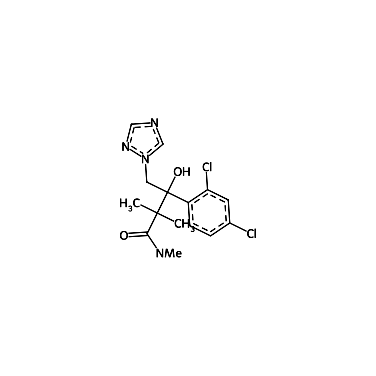 CNC(=O)C(C)(C)C(O)(Cn1cncn1)c1ccc(Cl)cc1Cl